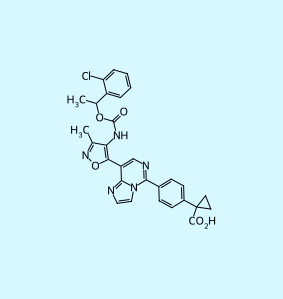 Cc1noc(-c2cnc(-c3ccc(C4(C(=O)O)CC4)cc3)n3ccnc23)c1NC(=O)OC(C)c1ccccc1Cl